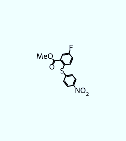 COC(=O)c1cc(F)ccc1Sc1ccc([N+](=O)[O-])cc1